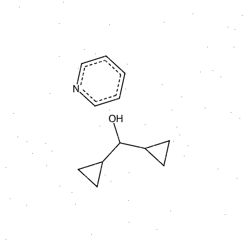 OC(C1CC1)C1CC1.c1ccncc1